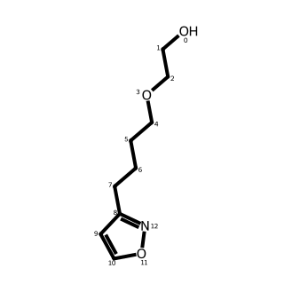 OCCOCCCCc1ccon1